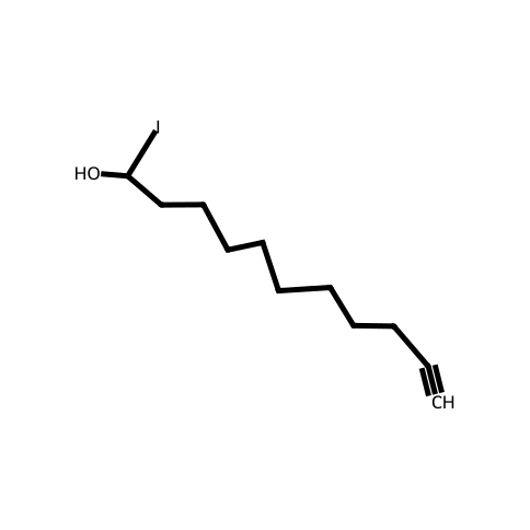 C#CCCCCCCCCC(O)I